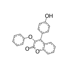 O=c1oc2ccccc2c(-c2ccc(O)cc2)c1Oc1ccccc1